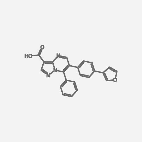 O=C(O)c1cnn2c(-c3ccccc3)c(-c3ccc(-c4ccoc4)cc3)cnc12